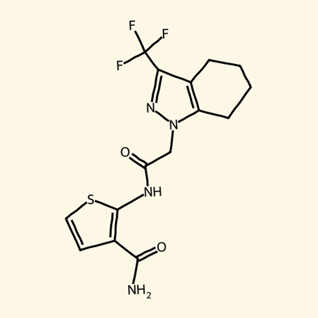 NC(=O)c1ccsc1NC(=O)Cn1nc(C(F)(F)F)c2c1CCCC2